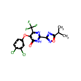 CC(C)c1nc(-c2nc(C(F)(F)F)c(Oc3ccc(Cl)c(Cl)c3)c(=O)[nH]2)no1